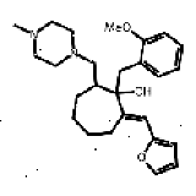 COc1ccccc1CC1(O)C(=Cc2ccco2)CCCCC1CN1CCN(C)CC1